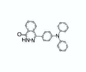 O=c1[nH]nc(-c2ccc(N(c3ccccc3)c3ccccc3)cc2)c2ccccc12